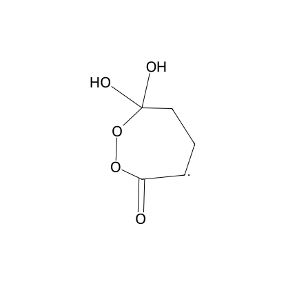 O=C1[CH]CCC(O)(O)OO1